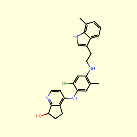 Cc1cc(Nc2ccnc3c2CCC3O)c(Cl)cc1NCCc1c[nH]c2c(C)cccc12